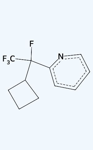 FC(F)(F)C(F)(c1ccccn1)C1CCC1